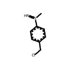 CS(=N)c1ccc(CCl)cc1